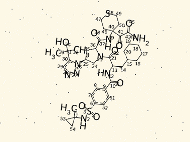 CC1(NS(=O)(=O)c2ccc(C(=O)N[C@H](CC3CCCCC3)C(=O)N3C[C@@H](n4nncc4C(C)(C)O)C[C@H]3C(=O)NC3(C(=O)C(N)=O)CCSCC3)cc2)CC1